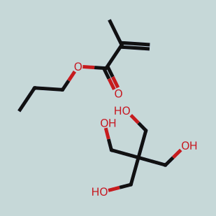 C=C(C)C(=O)OCCC.OCC(CO)(CO)CO